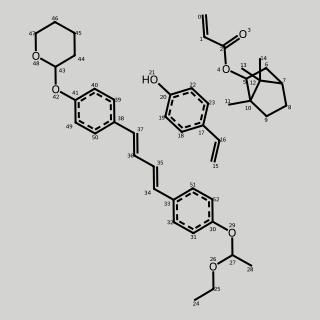 C=CC(=O)OC1CC2CCC1(C)C2(C)C.C=Cc1ccc(O)cc1.CCOC(C)Oc1ccc(C=CC=Cc2ccc(OC3CCCCO3)cc2)cc1